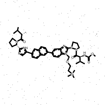 COC(=O)N[C@H](C(=O)N1CCCN1c1nc2cc(-c3ccc4cc(-c5cnc([C@@H]6CCCN6C(=O)[C@@H](C)C(C)C)[nH]5)ccc4c3)ccc2n1COCC[Si](C)(C)C)C(C)C